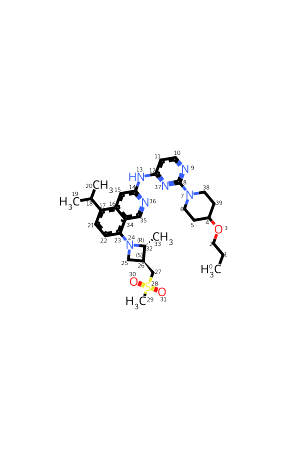 CCCOC1CCN(c2nccc(Nc3cc4c(C(C)C)ccc(N5C[C@H](CS(C)(=O)=O)[C@H]5C)c4cn3)n2)CC1